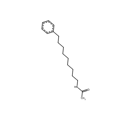 CC(=O)NCCCCCCCCCc1ccccc1